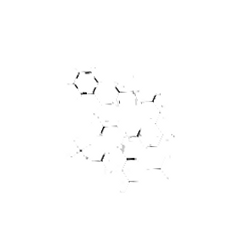 CC(C)C[C@H](NC(=O)[C@H](CC(N)=O)NC(=O)[C@@H](NC(=O)OC(C)(C)C)C(C)C)[C@@H](O)C[C@@H](C)C(=O)N[C@@H](C)C(=O)NCc1ccccc1